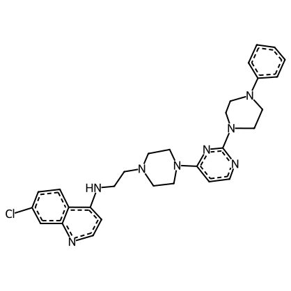 Clc1ccc2c(NCCN3CCN(c4ccnc(N5CCN(c6ccccc6)CC5)n4)CC3)ccnc2c1